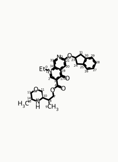 CCn1cc(C(=O)OC[C@@H](C)[C@@H]2COC[C@@H](C)N2)c(=O)c2cc(OC3Cc4ccccc4C3)ncc21